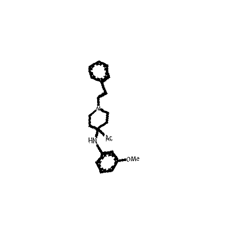 COc1cccc(NC2(C(C)=O)CCN(CCc3ccccc3)CC2)c1